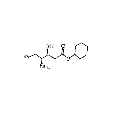 CC(C)C[C@H](N)[C@@H](O)CC(=O)OC1CCCCC1